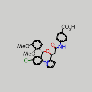 COc1cccc([C@@H]2O[C@@H](CC(=O)Nc3ccc(C(=O)O)cc3)c3cccn3-c3ccc(Cl)cc32)c1OC